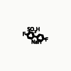 O=S(=O)(O)c1cc(-c2ccc(F)cc2)ccc1F.[NaH]